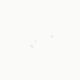 CC(CC1=C(C#N)C(=O)N(N(C)C(=O)C(C)(C)C)C(=O)C1)C(C)(C)C